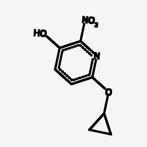 O=[N+]([O-])c1nc(OC2CC2)ccc1O